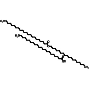 CCCCCCCCCCCCCCCCCCCCCC(=O)O.CCCCCCCCCCCCCCCCCCCCCC(=O)OCCCCCCCCCCCCCCCCCC